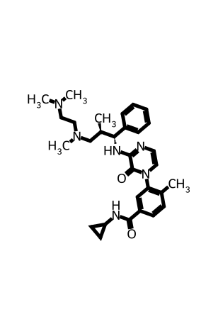 Cc1ccc(C(=O)NC2CC2)cc1-n1ccnc(N[C@@H](c2ccccc2)[C@H](C)CN(C)CCN(C)C)c1=O